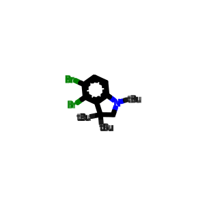 CC(C)(C)N1CC(C(C)(C)C)(C(C)(C)C)c2c1ccc(Br)c2Br